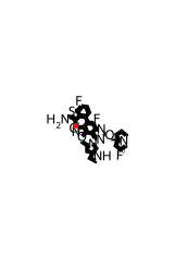 N#Cc1c(N)sc2c(F)ccc(-c3c(Cl)c4c5c(nc(OC[C@@]67CCCN6C[C@H](F)C7)nc5c3F)N3CC5(CCN5)CC3CO4)c12